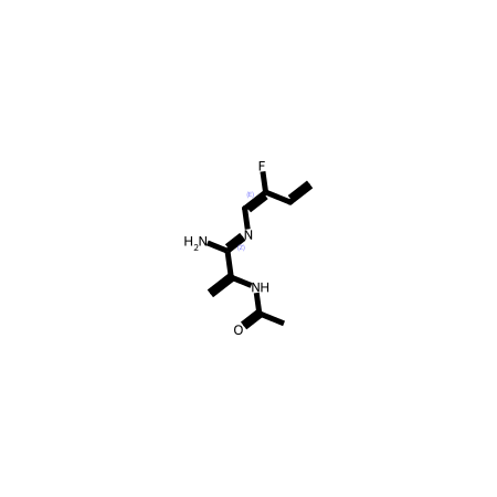 C=C/C(F)=C\N=C(/N)C(=C)NC(C)=O